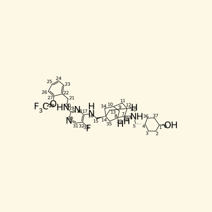 O[C@H]1CC[C@H](CN[C@@H]2[C@@H]3CC4C[C@H]2C[C@@](CNc2nc(NCc5ccccc5OC(F)(F)F)ncc2F)(C4)C3)CC1